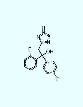 OC(Cc1nc[nH]n1)(c1ccc(F)cc1)c1ccccc1F